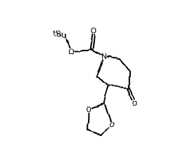 CC(C)(C)OC(=O)N1CCC(=O)C(C2OCCO2)C1